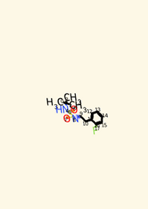 CC(C)(C)NS(=O)(=O)/N=C/Cc1ccccc1F